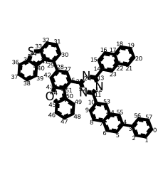 c1ccc(-c2ccc3ccc(-c4nc(-c5ccc6ccccc6c5)nc(-c5cc(-c6cccc7sc8ccccc8c67)cc6oc7ccccc7c56)n4)cc3c2)cc1